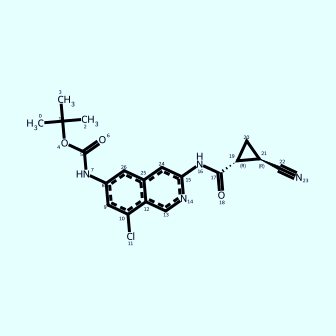 CC(C)(C)OC(=O)Nc1cc(Cl)c2cnc(NC(=O)[C@@H]3C[C@H]3C#N)cc2c1